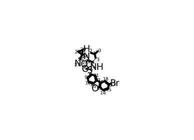 CC(C)C[C@H](N[S+]([O-])c1ccc2oc3ccc(Br)cc3c2c1)C(=O)NC1(C#N)CC1